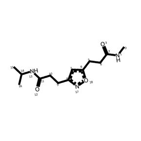 CNC(=O)CCc1cc(CCC(=O)NC(C)C)no1